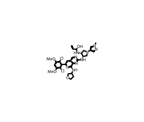 C=CC(O)N[C@H]1CN(c2cnn(C)c2)C[C@H]1Nc1ncc2cc(-c3c(Cl)c(OC)cc(OC)c3Cl)nc(NC3CCOC3)c2n1